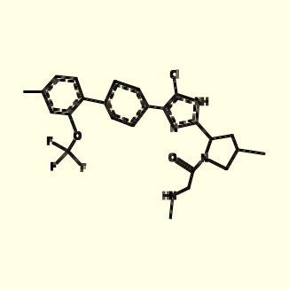 CNCC(=O)N1CC(C)CC1c1nc(-c2ccc(-c3ccc(C)cc3OC(F)(F)F)cc2)c(Cl)[nH]1